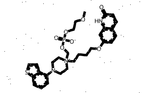 COCCOP(=O)([O-])OC[N+]1(CCCCOc2ccc3ccc(=O)[nH]c3c2)CCN(c2cccc3sccc23)CC1